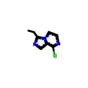 CCc1ncc2c(Cl)nccn12